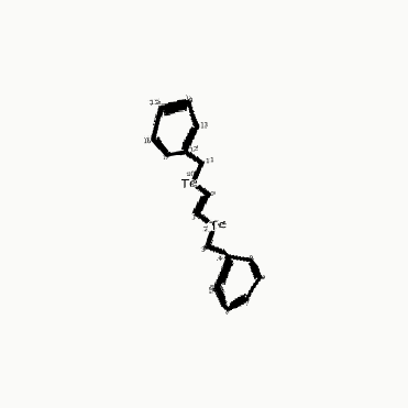 C(=C\[Te]Cc1ccccc1)/[Te]Cc1ccccc1